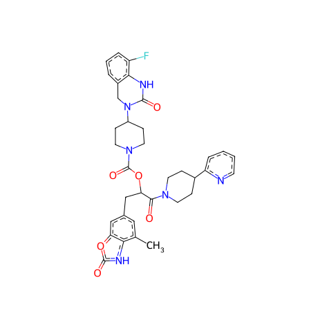 Cc1cc(CC(OC(=O)N2CCC(N3Cc4cccc(F)c4NC3=O)CC2)C(=O)N2CCC(c3ccccn3)CC2)cc2oc(=O)[nH]c12